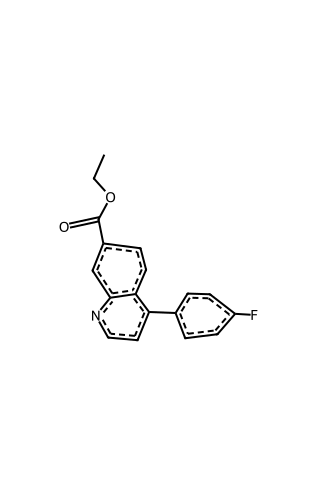 CCOC(=O)c1ccc2c(-c3ccc(F)cc3)ccnc2c1